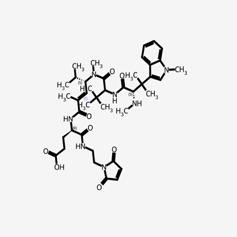 CN[C@H](C(=O)NC(C(=O)N(C)[C@H](/C=C(\C)C(=O)N[C@H](CCC(=O)O)C(=O)NCCN1C(=O)C=CC1=O)C(C)C)C(C)(C)C)C(C)(C)c1cn(C)c2ccccc12